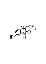 CC(C)c1ccc2nc(CC(F)(F)F)c(=O)[nH]c2c1